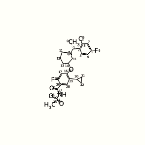 C[C@H](c1ccc(F)cc1Cl)N1CCCC(Oc2cc(F)c(C(=O)NS(C)(=O)=O)cc2C2CC2)C1